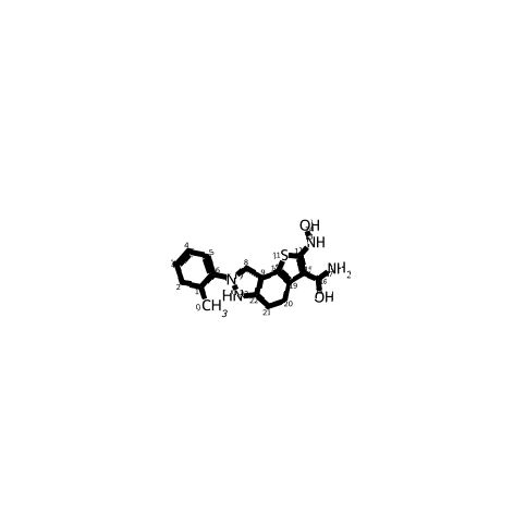 CC1CC=CC=C1N1CC2c3sc(NO)c(C(N)O)c3CCC2N1